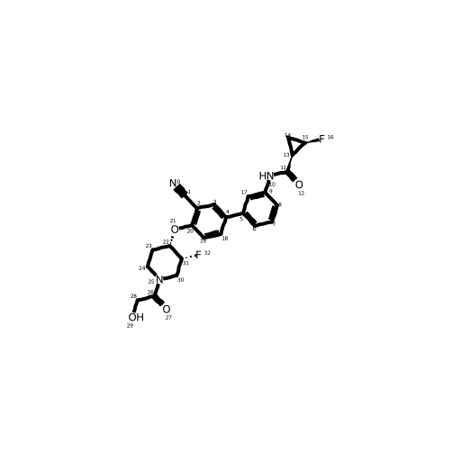 N#Cc1cc(-c2cccc(NC(=O)[C@H]3C[C@H]3F)c2)ccc1O[C@H]1CCN(C(=O)CO)C[C@H]1F